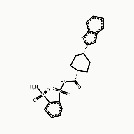 NS(=O)(=O)c1ccccc1S(=O)(=O)NC(=O)[C@H]1CC[C@@H](c2cc3ccccc3o2)CC1